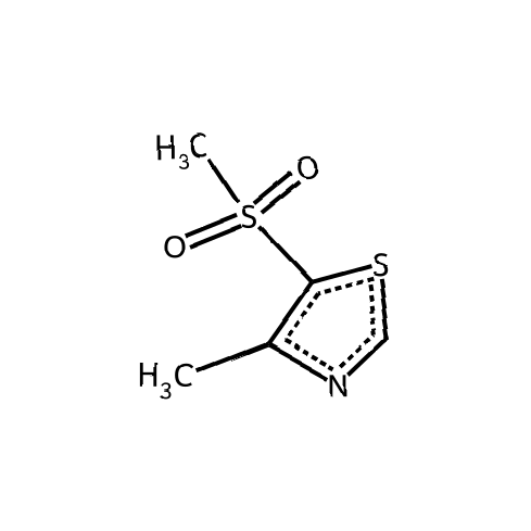 Cc1ncsc1S(C)(=O)=O